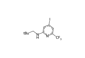 CC(C)(C)CNc1cc(I)cc(C(F)(F)F)n1